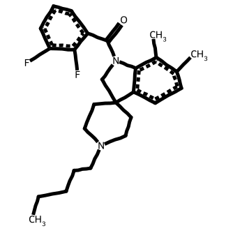 CCCCCN1CCC2(CC1)CN(C(=O)c1cccc(F)c1F)c1c2ccc(C)c1C